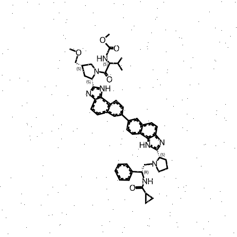 COC[C@H]1C[C@@H](c2nc3ccc4cc(-c5ccc6c(ccc7nc([C@@H]8CCCN8C[C@H](NC(=O)C8CC8)c8ccccc8)[nH]c76)c5)ccc4c3[nH]2)N(C(=O)[C@@H](NC(=O)OC)C(C)C)C1